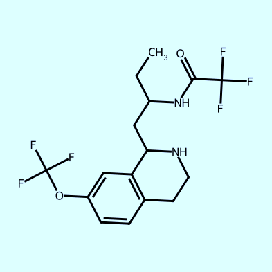 CCC(CC1NCCc2ccc(OC(F)(F)F)cc21)NC(=O)C(F)(F)F